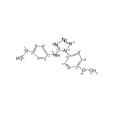 COc1ccc(Nc2nnnn2-c2ccc(OC)cc2)cc1